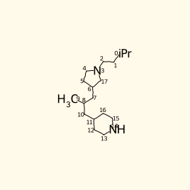 CC(C)CCN1CCC(CC(C)CC2CCNCC2)C1